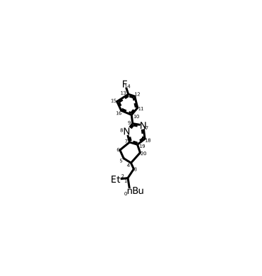 CCCCC(CC)CC1CCc2nc(-c3ccc(F)cc3)ncc2C1